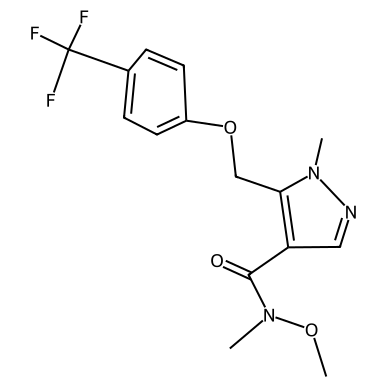 CON(C)C(=O)c1cnn(C)c1COc1ccc(C(F)(F)F)cc1